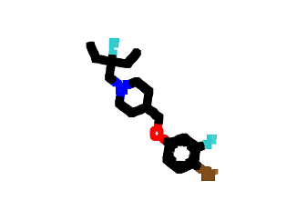 CCC(F)(CC)CN1CCC(COc2ccc(Br)c(F)c2)CC1